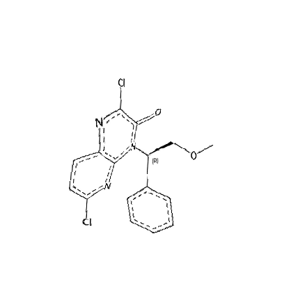 COC[C@@H](c1ccccc1)n1c(=O)c(Cl)nc2ccc(Cl)nc21